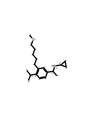 COCCCCCc1cc(C(C)NC2CC2)ccc1C(C)C